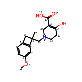 COc1ccc2c(c1)C(C)(CN1CCC(O)=C(C(=O)O)C1)C2